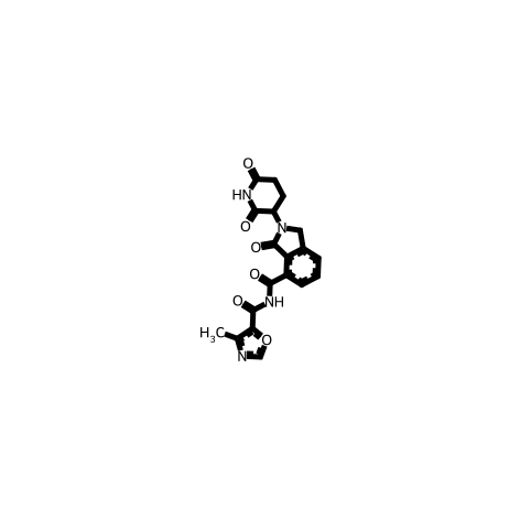 Cc1ncoc1C(=O)NC(=O)c1cccc2c1C(=O)N(C1CCC(=O)NC1=O)C2